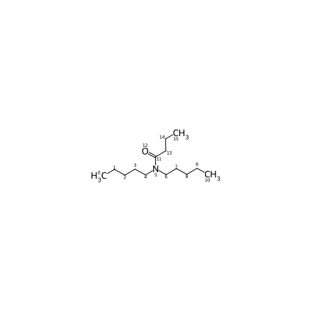 CCCCCN(CCCCC)C(=O)CCC